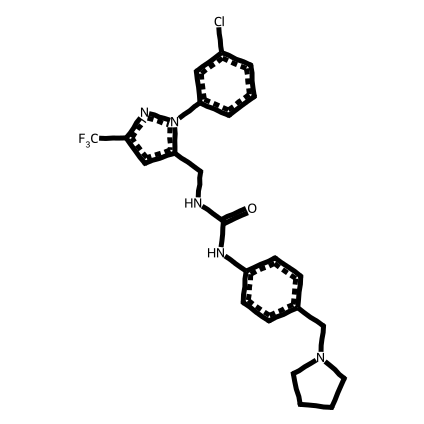 O=C(NCc1cc(C(F)(F)F)nn1-c1cccc(Cl)c1)Nc1ccc(CN2CCCC2)cc1